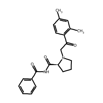 Cc1ccc(C(=O)CN2CCC[C@H]2C(=O)NC(=O)c2ccccc2)c(C)c1